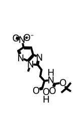 Cn1c(CCC(NC(=O)OC(C)(C)C)C(=O)O)nc2cc([N+](=O)[O-])cnc21